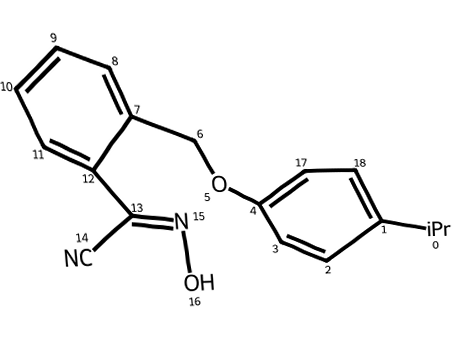 CC(C)c1ccc(OCc2ccccc2C(C#N)=NO)cc1